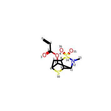 C=CC(=O)OC1C2CC3C(S2)C1N(C)S3(=O)=O